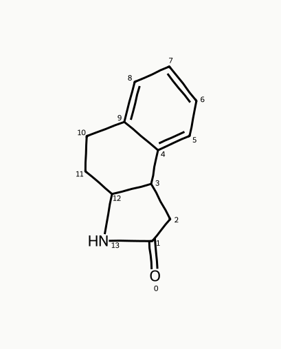 O=C1CC2c3ccccc3CCC2N1